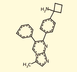 Cc1cnc2nc(-c3ccc(C4(N)CCC4)cc3)c(-c3ccccc3)cn12